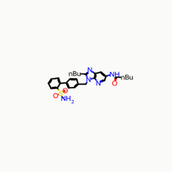 CCCCC(=O)Nc1cnc2c(c1)nc(CCCC)n2Cc1ccc(-c2ccccc2S(N)(=O)=O)cc1